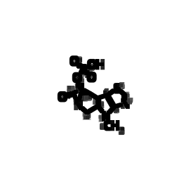 Cn1c2c(c3scnc31)C1CN(C2)C(=O)N1OS(=O)(=O)O